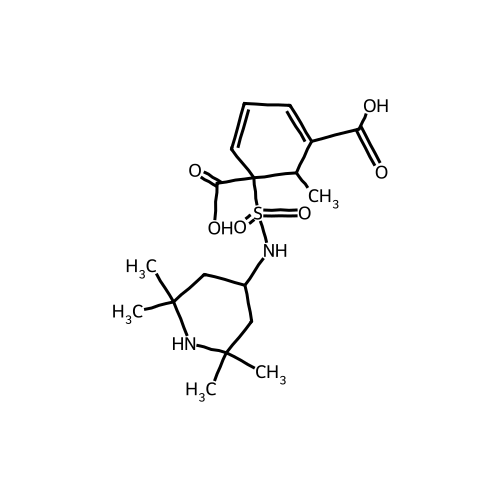 CC1C(C(=O)O)=CC=CC1(C(=O)O)S(=O)(=O)NC1CC(C)(C)NC(C)(C)C1